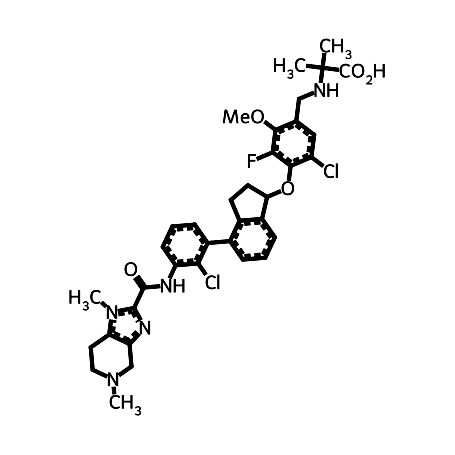 COc1c(CNC(C)(C)C(=O)O)cc(Cl)c(OC2CCc3c(-c4cccc(NC(=O)c5nc6c(n5C)CCN(C)C6)c4Cl)cccc32)c1F